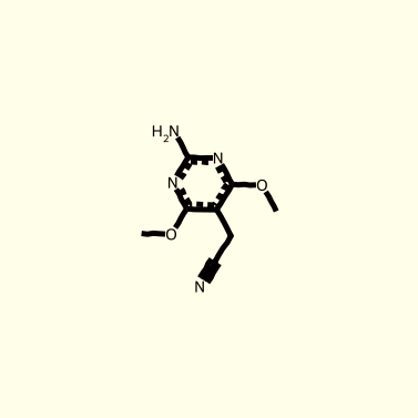 COc1nc(N)nc(OC)c1CC#N